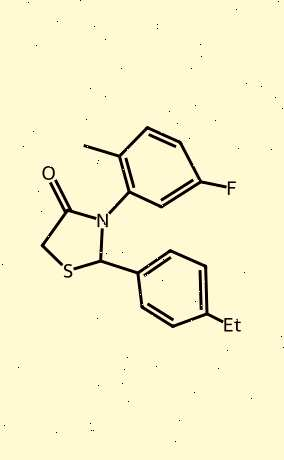 CCc1ccc(C2SCC(=O)N2c2cc(F)ccc2C)cc1